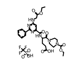 CCOC(=O)CNc1cc(C(=O)NC(CCC(=O)O)C(=O)N2CCN(C(=O)OCC)CC2)nc(-c2ccccc2)n1.O=S(=O)(O)C(F)(F)F